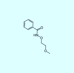 COCCONC(=O)c1ccccc1